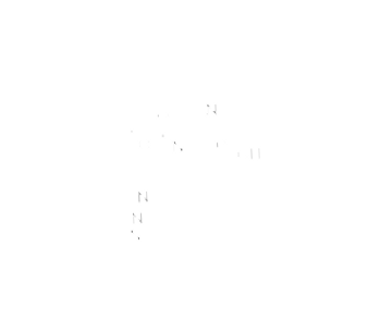 CN(CCN(CCCN=[N+]=[N-])C(=O)OC(C)(C)C)CC(=O)O